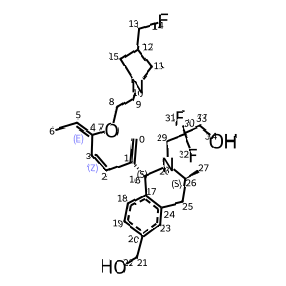 C=C(/C=C\C(=C/C)OCCN1CC(CF)C1)[C@H]1c2ccc(CO)cc2C[C@H](C)N1CC(F)(F)CO